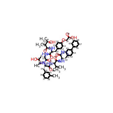 C#[SH]=C(O)C[C@H](NC(=O)[C@H](Cc1ccc(OCC(=O)O)cc1)NC(=O)[C@@H](C)C(C)O)C(=O)N[C@@H](Cc1cccc(C)c1)C(=O)N[C@H](C(=O)N[C@@H](Cc1ccc(-c2ccccc2)cc1)C(N)=O)C(C)C